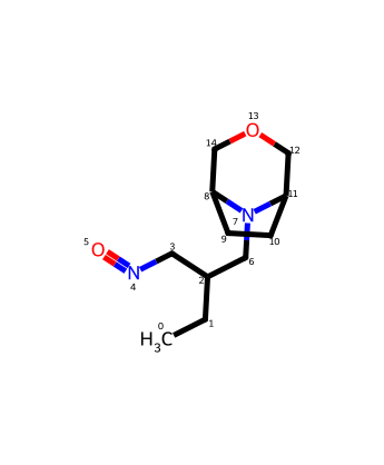 CCC(CN=O)CN1C2CCC1COC2